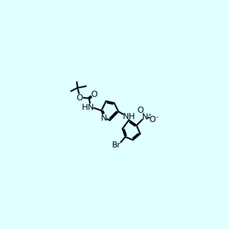 CC(C)(C)OC(=O)Nc1ccc(Nc2cc(Br)ccc2[N+](=O)[O-])cn1